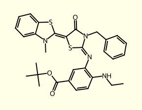 CCNc1ccc(C(=O)OC(C)(C)C)cc1N=C1SC(=C2Sc3ccccc3N2C)C(=O)N1Cc1ccccc1